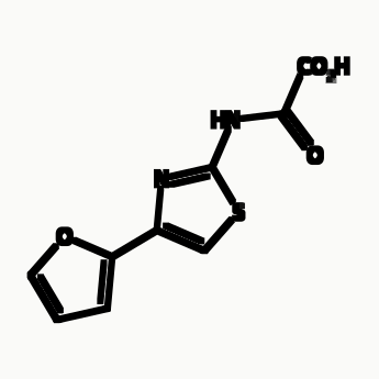 O=C(O)C(=O)Nc1nc(-c2ccco2)cs1